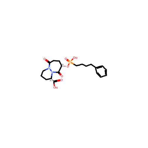 O=C(O)[C@@H]1CCCN2C(=O)CC[C@H](OP(=O)(O)CCCCc3ccccc3)C(=O)N12